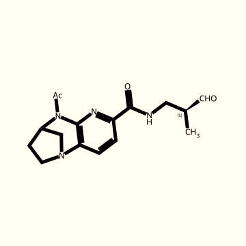 CC(=O)N1c2nc(C(=O)NC[C@H](C)C=O)ccc2N2CCC1C2